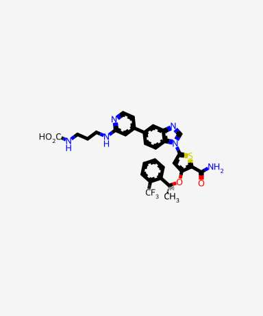 C[C@@H](Oc1cc(-n2cnc3cc(-c4ccnc(NCCCNC(=O)O)c4)ccc32)sc1C(N)=O)c1ccccc1C(F)(F)F